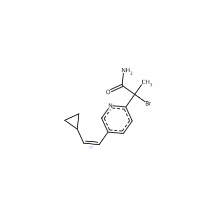 CC(Br)(C(N)=O)c1ccc(/C=C\C2CC2)cn1